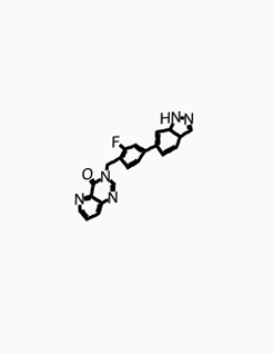 O=c1c2ncccc2ncn1Cc1ccc(C2=CC3NN=CC3C=C2)cc1F